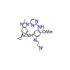 COc1cc(N(C)CCN(C)C)c(NC(C)=O)cc1Nc1nccc(-n2c(C)nc3cc(C4CC4)ccc32)n1